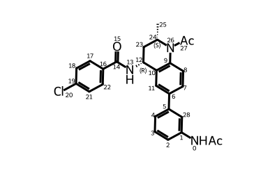 CC(=O)Nc1cccc(-c2ccc3c(c2)[C@H](NC(=O)c2ccc(Cl)cc2)C[C@H](C)N3C(C)=O)c1